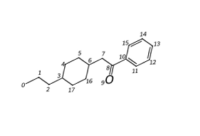 CCCC1CCC(CC(=O)c2ccccc2)CC1